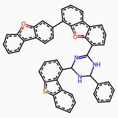 c1ccc(C2NC(c3cccc4c3oc3c(-c5ccc6c(c5)oc5ccccc56)cccc34)=NC(c3cccc4sc5ccccc5c34)N2)cc1